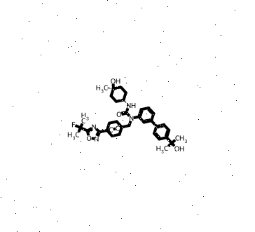 CC(C)(O)c1ccc(-c2cccc(N(CC34CCC(c5noc(C(C)(C)F)n5)(CC3)CC4)C(=O)N[C@H]3CC[C@](C)(O)CC3)c2)cc1